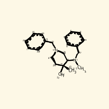 CN(Cc1ccccc1)C1CN(Cc2ccccc2)CCC1(C)O